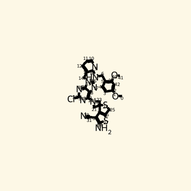 COc1ccc(CNc2ncccc2Cn2cnc3c(N4CC5(C4)SCc4sc(N)c(C#N)c45)nc(Cl)nc32)c(OC)c1